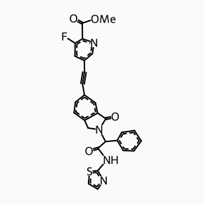 COC(=O)c1ncc(C#Cc2ccc3c(c2)C(=O)N(C(C(=O)Nc2nccs2)c2ccccc2)C3)cc1F